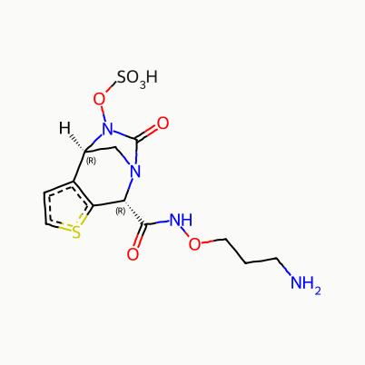 NCCCONC(=O)[C@@H]1c2sccc2[C@@H]2CN1C(=O)N2OS(=O)(=O)O